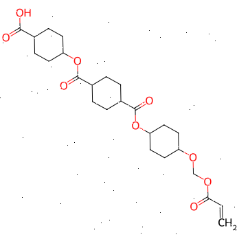 C=CC(=O)OCOC1CCC(OC(=O)C2CCC(C(=O)OC3CCC(C(=O)O)CC3)CC2)CC1